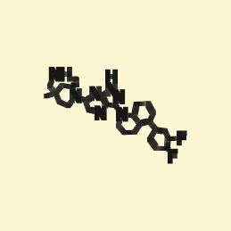 CC1(CN)CCN(c2cnc3c(N4CCCc5c(-c6ccc(F)c(F)c6)cccc54)n[nH]c3n2)CC1